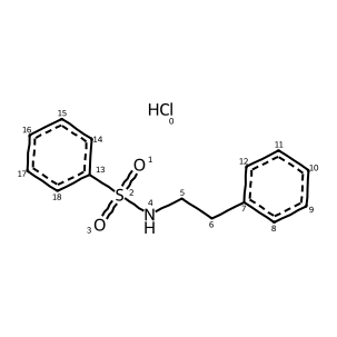 Cl.O=S(=O)(NCCc1ccccc1)c1ccccc1